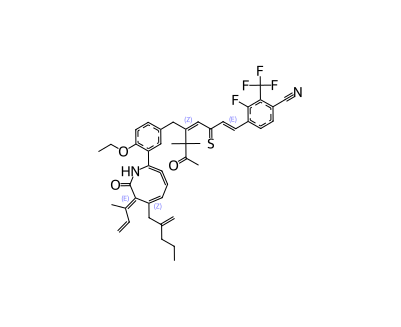 C=C/C(C)=C1C(=O)NC(c2cc(C/C(=C/C(=S)/C=C/c3ccc(C#N)c(C(F)(F)F)c3F)C(C)(C)C(C)=O)ccc2OCC)=C=C\C=C/1CC(=C)CCC